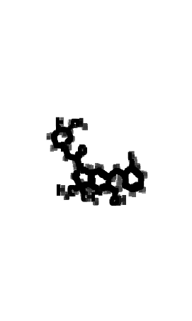 C[C@@H]1CN(CC(=O)N2CC(C)(C)c3nc(CO)c(Cc4ccccc4F)cc32)CCN1